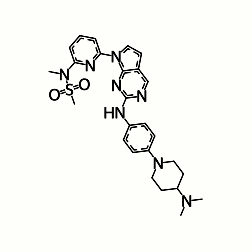 CN(C)C1CCN(c2ccc(Nc3ncc4ccn(-c5cccc(N(C)S(C)(=O)=O)n5)c4n3)cc2)CC1